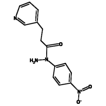 NN(C(=O)CCc1cccnc1)c1ccc([N+](=O)[O-])cc1